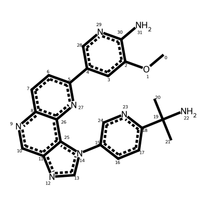 COc1cc(-c2ccc3ncc4ncn(-c5ccc(C(C)(C)N)nc5)c4c3n2)cnc1N